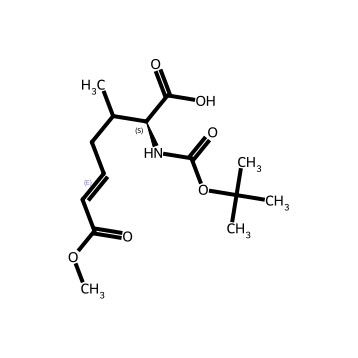 COC(=O)/C=C/CC(C)[C@H](NC(=O)OC(C)(C)C)C(=O)O